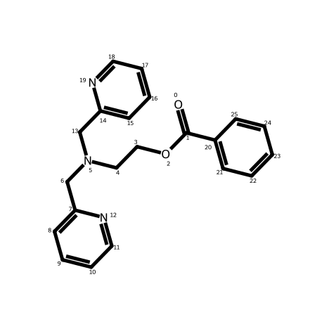 O=C(OCCN(Cc1ccccn1)Cc1ccccn1)c1ccccc1